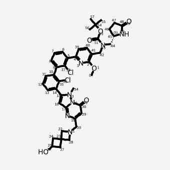 COc1nc(-c2cccc(-c3cccc(-c4cc5nc(CN6CC7(CC(O)C7)C6)cc(=O)n5n4C)c3Cl)c2Cl)ccc1CN(C[C@@H]1CCC(=O)N1)C(=O)OC(C)(C)C